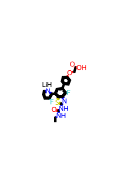 CCNC(=O)Nc1nc2c(F)c(-c3ccc(OCC(=O)O)cc3)cc(-c3ncccc3F)c2s1.[LiH]